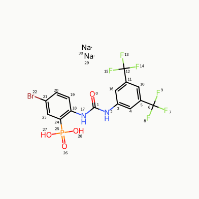 O=C(Nc1cc(C(F)(F)F)cc(C(F)(F)F)c1)Nc1ccc(Br)cc1P(=O)(O)O.[Na].[Na]